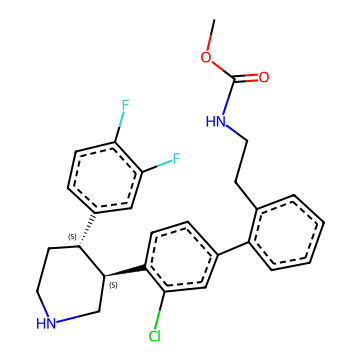 COC(=O)NCCc1ccccc1-c1ccc([C@H]2CNCC[C@@H]2c2ccc(F)c(F)c2)c(Cl)c1